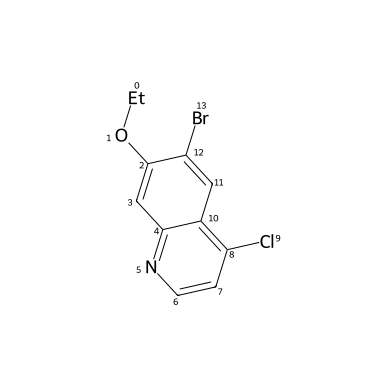 CCOc1cc2nccc(Cl)c2cc1Br